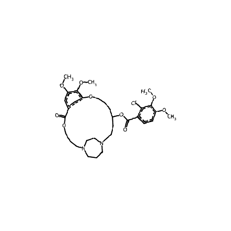 COc1cc2cc(c1OC)OCCCC(OC(=O)c1ccc(OC)c(OC)c1Cl)CCN1CCCN(CCCOC2=O)CC1